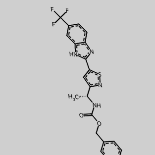 C[C@@H](NC(=O)OCc1ccccc1)c1cc(-c2nc3ccc(C(F)(F)F)cc3[nH]2)sn1